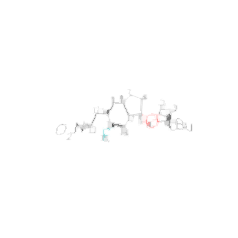 CC(C)(C)[Si](C)(C)OC1CCc2cc(/C=C/[N+](=O)[O-])c(F)cc21